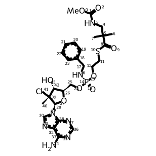 COC(=O)NCC(C)(C)C(=O)SCCO[P@](=O)(NCc1ccccc1)OC[C@H]1O[C@@H](n2cnc3c(N)ncnc32)[C@](C)(Cl)[C@@H]1O